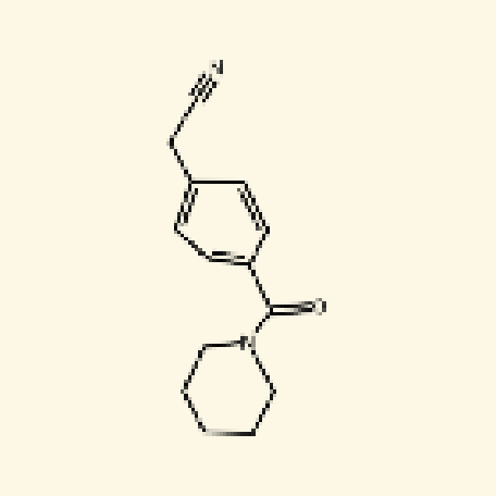 N#CCc1ccc(C(=O)N2CC[CH]CC2)cc1